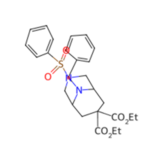 CCOC(=O)C1(C(=O)OCC)CC2CN(S(=O)(=O)c3ccccc3)CC(C1)N2Cc1ccccc1